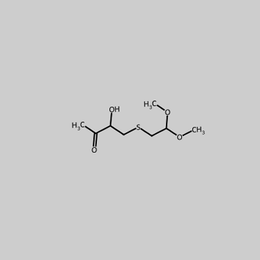 COC(CSCC(O)C(C)=O)OC